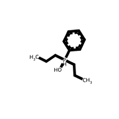 CCC[PH](O)(CCC)c1ccccc1